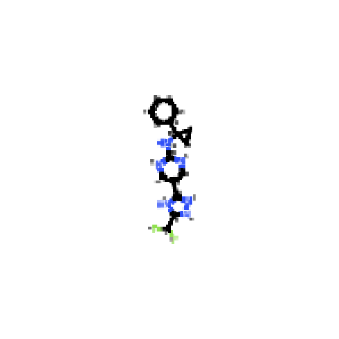 FC(F)c1nnc(-c2cnc(NC3(c4ccccc4)CC3)nc2)[nH]1